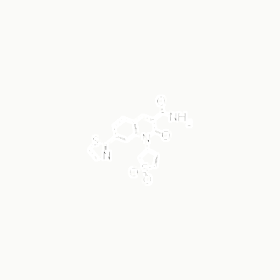 NC(=O)c1cc2ccc(-c3nccs3)cc2n(C2C=CS(=O)(=O)C2)c1=O